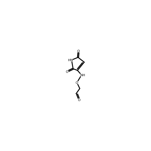 O=[C]CONC1=CC(=O)NC1=O